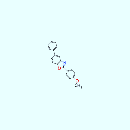 COc1ccc(-c2nc3cc(-c4ccccc4)ccc3o2)cc1